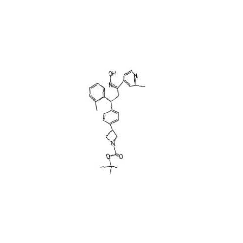 Cc1cc(/C(CC(c2ccc(C3CN(C(=O)OC(C)(C)C)C3)cc2)c2ccccc2C)=N\O)ccn1